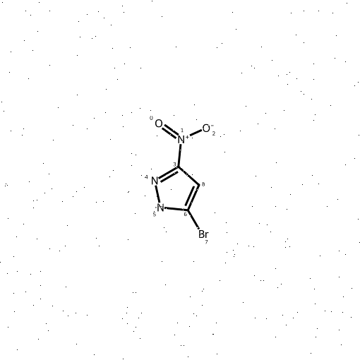 O=[N+]([O-])C1=N[N]C(Br)=C1